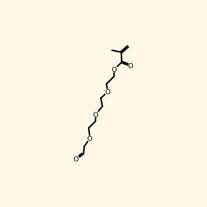 C=C(C)C(=O)OCCOCCOCCOCC=O